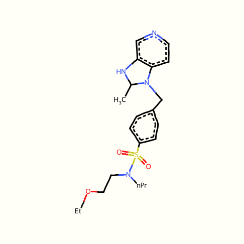 CCCN(CCOCC)S(=O)(=O)c1ccc(CN2c3ccncc3NC2C)cc1